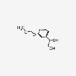 COCOc1cccc([C@@H](O)CO)c1